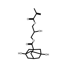 C=C(C)C(=O)OCC(O)COC(=O)C12CC3CC(O)(CC(O)(C3)C1)C2